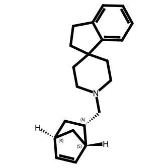 C1=C[C@@H]2C[C@@H]1C[C@@H]2CN1CCC2(CCc3ccccc32)CC1